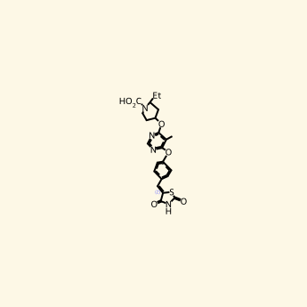 CCC1CC(Oc2ncnc(Oc3ccc(/C=C4\SC(=O)NC4=O)cc3)c2C)CCN1C(=O)O